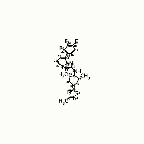 Cc1nsc(N2C[C@@H](C)[C@H](Nc3nc4c(-c5ccc(F)c(F)c5F)cccn4n3)[C@@H](C)C2)n1